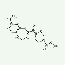 CC(C)(C)OC(=O)N1CCN(C(=O)N2CCOc3ccc(OC(F)(F)F)cc3C2)CC1